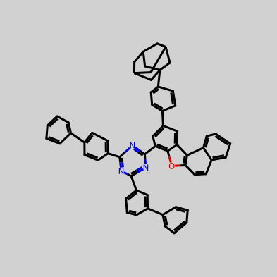 c1ccc(-c2ccc(-c3nc(-c4cccc(-c5ccccc5)c4)nc(-c4cc(-c5ccc(C67CC8CC(CC(C8)C6)C7)cc5)cc5c4oc4ccc6ccccc6c45)n3)cc2)cc1